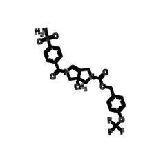 CC12CN(C(=O)c3ccc(S(N)(=O)=O)cc3)C=C1CN(C(=O)OCc1ccc(OC(F)(F)F)cc1)C2